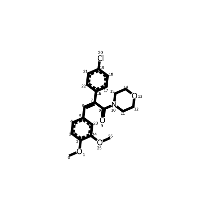 COc1ccc(C=C(C(=O)N2CCOCC2)c2ccc(Cl)cc2)cc1OC